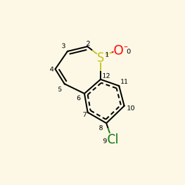 [O-][S+]1C=CC=Cc2cc(Cl)ccc21